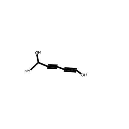 CCCC(O)C#CC#CO